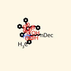 CCCCCCCCCCCCCC[C@@H](O)[C@@H](O)[C@H](CO[C@H]1OC(COCc2ccccc2)[C@H](OCc2ccccc2)[C@@H](OCc2ccccc2)C1OCc1ccccc1)NS(=O)(=O)c1cccc(C)c1